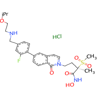 CC(C)OCCNCc1ccc(-c2ccc3c(=O)n(CC[C@](C)(C(=O)NO)S(C)(=O)=O)ccc3c2)c(F)c1.Cl